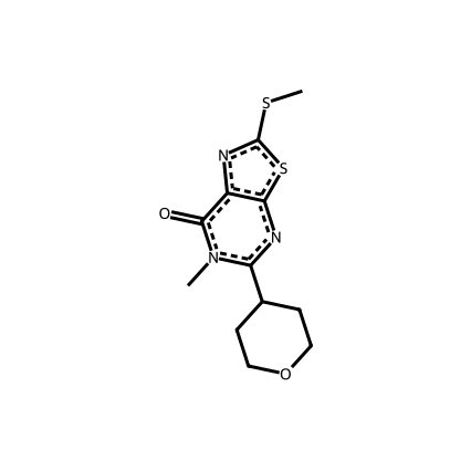 CSc1nc2c(=O)n(C)c(C3CCOCC3)nc2s1